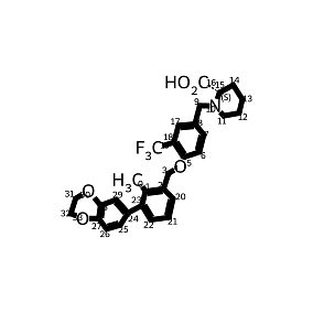 Cc1c(COc2ccc(CN3CCCC[C@H]3C(=O)O)cc2C(F)(F)F)cccc1-c1ccc2c(c1)OCCO2